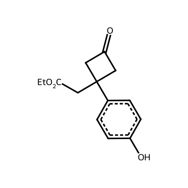 CCOC(=O)CC1(c2ccc(O)cc2)CC(=O)C1